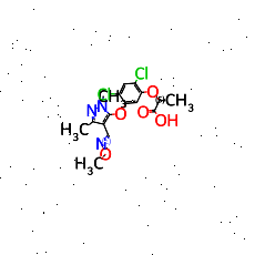 CO/N=C/c1c(C)nn(C)c1Oc1cc(O[C@@H](C)C(=O)O)c(Cl)cc1Cl